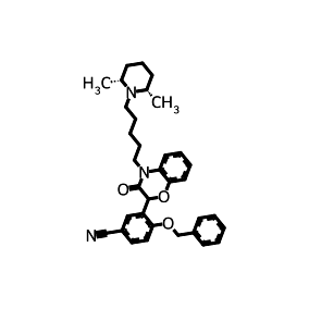 C[C@@H]1CCC[C@H](C)N1CCCCCN1C(=O)C(c2cc(C#N)ccc2OCc2ccccc2)Oc2ccccc21